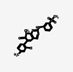 Cc1ccc(-c2cc3cnc(Nc4cccc(S(C)(=O)=O)c4)nc3n(C)c2=O)c(Cl)c1